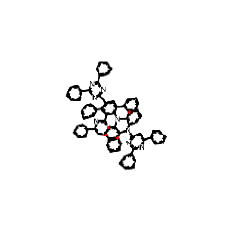 c1ccc(-c2cc(N3c4ccccc4N(c4c(-c5ccccc5)cc(-c5nc(-c6ccccc6)nc(-c6ccccc6)n5)c(-c5ccccc5)c4-c4nc(-c5ccccc5)cc(-c5ccccc5)n4)c4ccccc43)nc(-c3ccccc3)n2)cc1